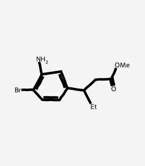 CCC(CC(=O)OC)c1ccc(Br)c(N)c1